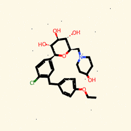 CCOc1ccc(Cc2cc([C@@H]3O[C@H](CN4CCC(O)CC4)[C@@H](O)[C@H](O)[C@H]3O)ccc2Cl)cc1